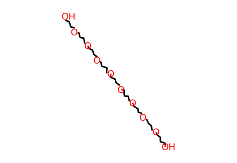 OCCCCOCCCCOCCCCOCCCCOCCCCOCCCCOCCCCOCCCCOCCCCO